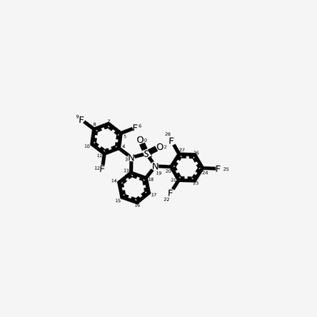 O=S1(=O)N(c2c(F)cc(F)cc2F)c2ccccc2N1c1c(F)cc(F)cc1F